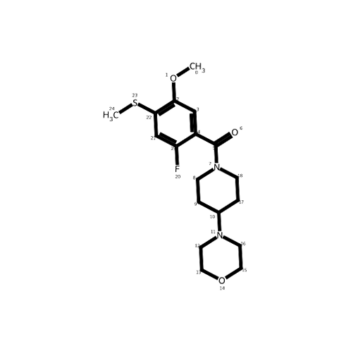 COc1cc(C(=O)N2CCC(N3CCOCC3)CC2)c(F)cc1SC